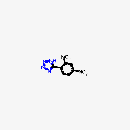 O=[N+]([O-])c1ccc(-c2nnn[nH]2)c([N+](=O)[O-])c1